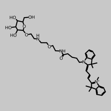 C[N+]1=C(/C=C/C=C2/N(CCCCC(=O)NCCOCCNCCOC3OC(CO)C(O)C(O)C3O)c3ccccc3C2(C)C)C(C)(C)c2ccccc21